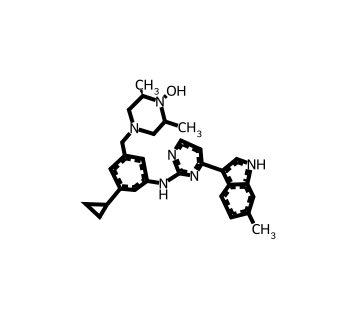 Cc1ccc2c(-c3ccnc(Nc4cc(CN5CC(C)N(O)[C@@H](C)C5)cc(C5CC5)c4)n3)c[nH]c2c1